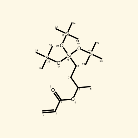 C=CC(=O)OC(C)CC[Si](O[Si](C)(C)C)(O[Si](C)(C)C)O[Si](C)(C)C